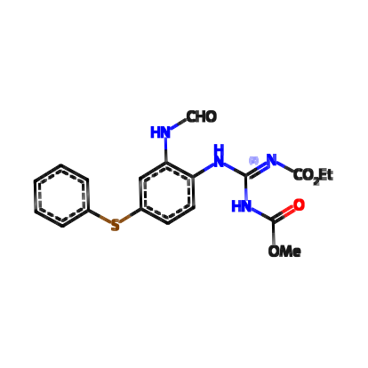 CCOC(=O)/N=C(\NC(=O)OC)Nc1ccc(Sc2ccccc2)cc1NC=O